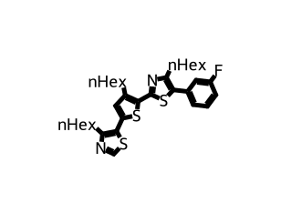 CCCCCCc1cc(-c2scnc2CCCCCC)sc1-c1nc(CCCCCC)c(-c2cccc(F)c2)s1